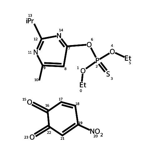 CCOP(=S)(OCC)Oc1cc(C)nc(C(C)C)n1.O=C1C=CC([N+](=O)[O-])=CC1=O